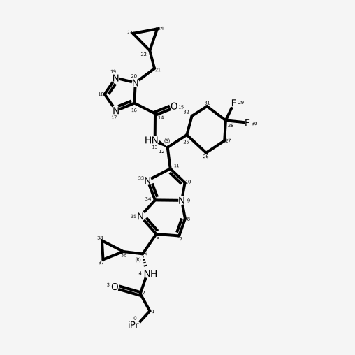 CC(C)CC(=O)N[C@@H](c1ccn2cc([C@@H](NC(=O)c3ncnn3CC3CC3)C3CCC(F)(F)CC3)nc2n1)C1CC1